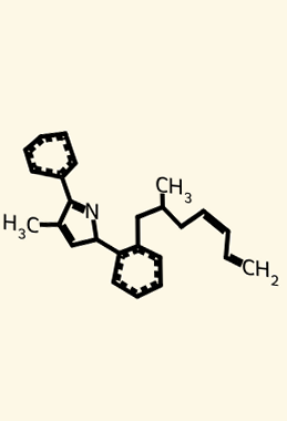 C=C/C=C\CC(C)Cc1ccccc1C1C=C(C)C(c2ccccc2)=N1